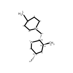 CC1CCN(C[C@H]2OC[C@@H](F)C[C@@H]2C)CC1